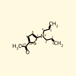 C=CCN(CC=C)c1ccc(C(C)=O)s1